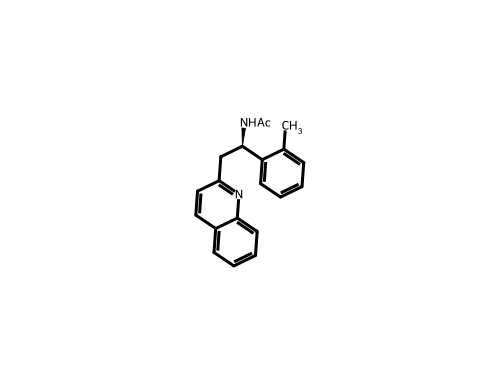 CC(=O)N[C@H](Cc1ccc2ccccc2n1)c1ccccc1C